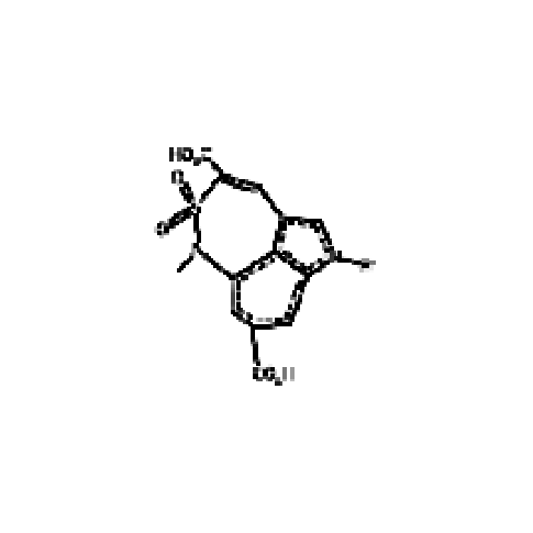 CCn1cc2c3c(cc(C(=O)O)cc31)N(C)S(=O)(=O)C(C(=O)O)=C2